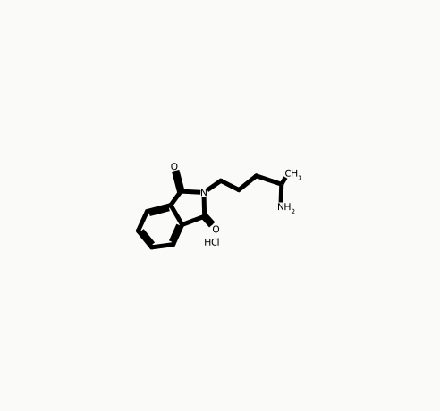 CC(N)CCCN1C(=O)c2ccccc2C1=O.Cl